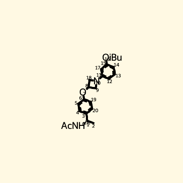 CC(=O)N[C@@H](C)c1ccc(OC2CN(c3cccc(OCC(C)C)c3)C2)cc1